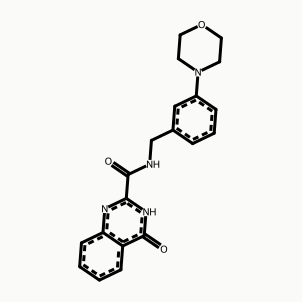 O=C(NCc1cccc(N2CCOCC2)c1)c1nc2ccccc2c(=O)[nH]1